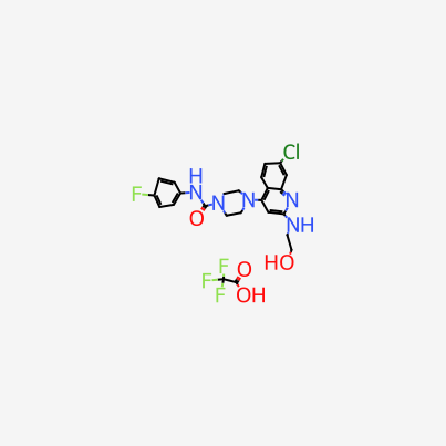 O=C(Nc1ccc(F)cc1)N1CCN(c2cc(NCCO)nc3cc(Cl)ccc23)CC1.O=C(O)C(F)(F)F